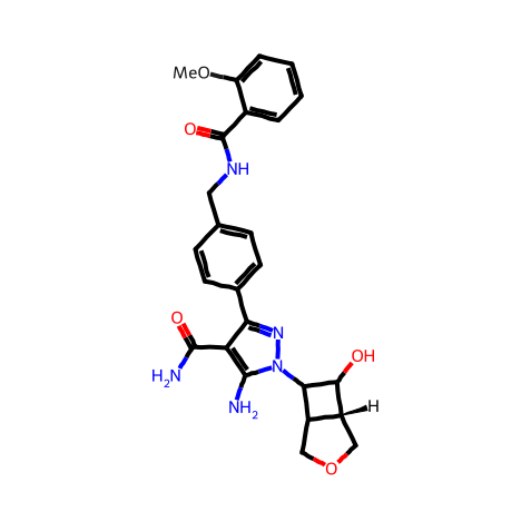 COc1ccccc1C(=O)NCc1ccc(-c2nn(C3C(O)[C@@H]4COCC34)c(N)c2C(N)=O)cc1